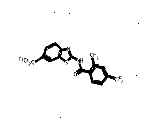 O=C(O)c1ccc2nc(NC(=O)c3ccc(C(F)(F)F)cc3C(F)(F)F)sc2c1